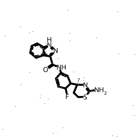 C[C@@]1(C2C=C(NC(=O)c3n[nH]c4ccccc34)C=CC2F)CCSC(N)=N1